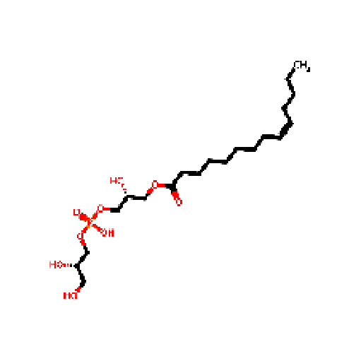 CCCC/C=C\CCCCCCCC(=O)OC[C@@H](O)COP(=O)(O)OC[C@@H](O)CO